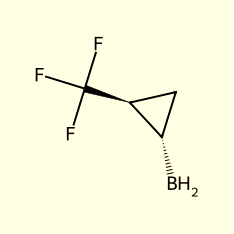 B[C@H]1C[C@@H]1C(F)(F)F